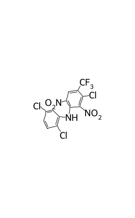 O=[N+]([O-])c1cc(C(F)(F)F)c(Cl)c([N+](=O)[O-])c1Nc1cc(Cl)ccc1Cl